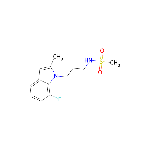 Cc1cc2cccc(F)c2n1CCCNS(C)(=O)=O